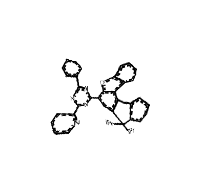 CC(C)C1(C(C)C)c2ccccc2-c2c1cc(-c1nc(-c3ccccc3)nc(-c3ccccn3)n1)c1oc3ccccc3c21